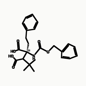 CC(C)(C)C(C(=O)O)[C@](CCc1ccccc1)(NC(=O)OCc1ccccc1)C(=O)O